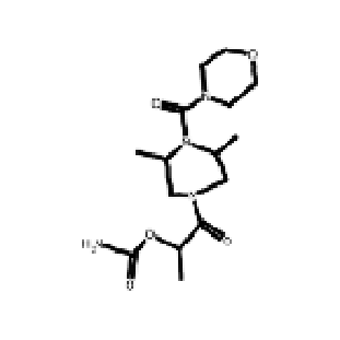 CC(OC(N)=O)C(=O)N1CC(C)N(C(=O)N2CCOCC2)C(C)C1